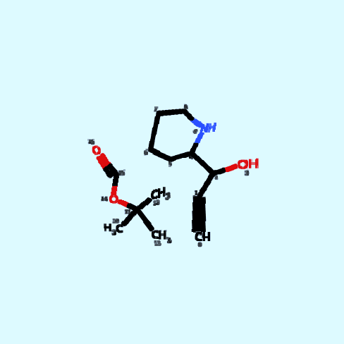 C#CC(O)C1CCCCN1.CC(C)(C)OC=O